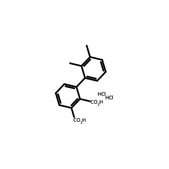 Cc1cccc(-c2cccc(C(=O)O)c2C(=O)O)c1C.Cl.Cl